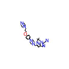 CN1CCN(CCCOc2ccc(N3CCN(Cc4cc5cnc(C#N)nc5n4CC(C)(C)C)CC3)cc2)CC1